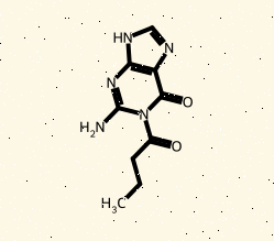 CCCC(=O)n1c(N)nc2[nH]cnc2c1=O